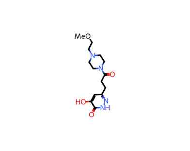 COCCN1CCN(C(=O)CCc2cc(O)c(=O)[nH]n2)CC1